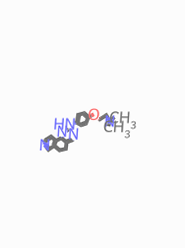 CN(C)CCOc1ccc(Nc2ncc3c(n2)-c2ccncc2CC3)cc1